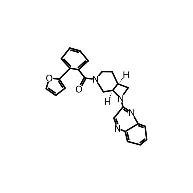 O=C(c1ccccc1-c1ccco1)N1CC[C@H]2CN(c3cnc4ccccc4n3)[C@H]2C1